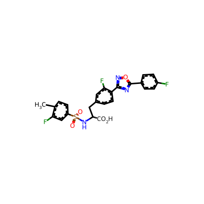 Cc1ccc(S(=O)(=O)NC(Cc2ccc(-c3noc(-c4ccc(F)cc4)n3)c(F)c2)C(=O)O)cc1F